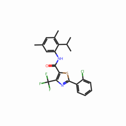 Cc1cc(C)c(C(C)C)c(NC(=O)c2sc(-c3ccccc3Cl)nc2C(F)(F)F)c1